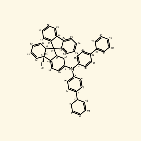 C1=CCC(c2ccc(N(C3=CC=C4C(C3)C3(c5ccccc5-c5ccccc53)C3C=CC=C[C@@H]43)c3ccc(-c4ccccc4)cc3)cc2)C=C1